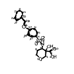 CC1(C(=O)O)COCCC1NS(=O)(=O)c1ccc(OCc2ccccc2)cc1